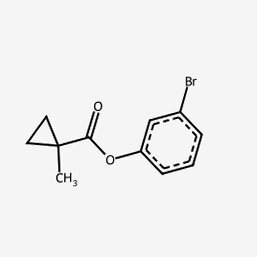 CC1(C(=O)Oc2cccc(Br)c2)CC1